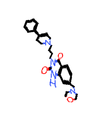 O=c1[nH]c2cc(CN3CCOCC3)ccc2c(=O)n1CCCCN1CC=C(c2ccccc2)CC1